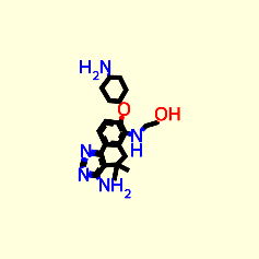 CC1(C)Cc2c(ccc(O[C@H]3CC[C@H](N)CC3)c2NCCO)-c2ncnc(N)c21